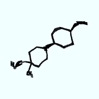 CN[C@H]1CC[C@@H](N2CCC(C)(C)CC2)CC1